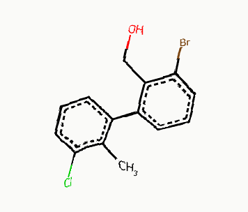 Cc1c(Cl)cccc1-c1cccc(Br)c1CO